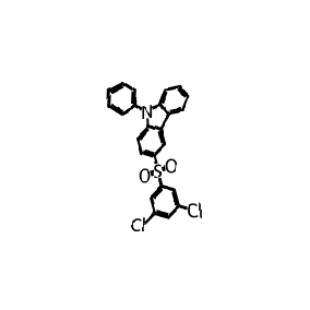 O=S(=O)(c1cc(Cl)cc(Cl)c1)c1ccc2c(c1)c1ccccc1n2-c1ccccc1